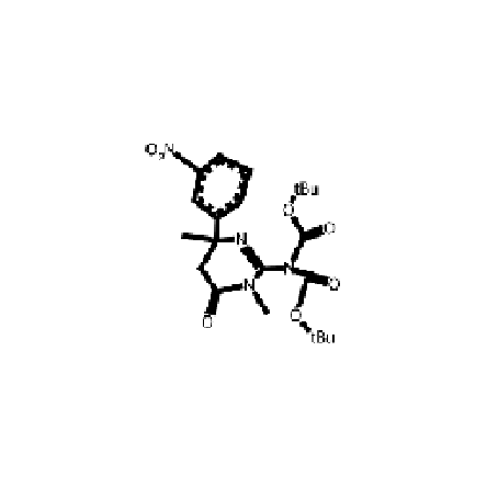 CN1C(=O)CC(C)(c2cccc([N+](=O)[O-])c2)N=C1N(C(=O)OC(C)(C)C)C(=O)OC(C)(C)C